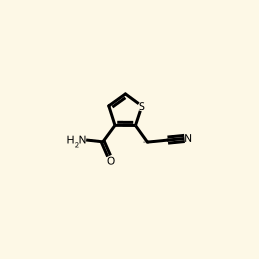 N#C[CH]c1sccc1C(N)=O